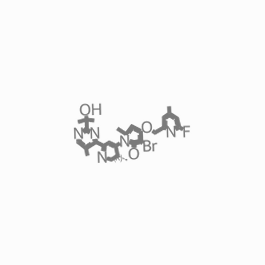 Cc1cc(F)nc(COc2cc(C)n(C3=CC(c4nc(C(C)(C)O)ncc4C)=NC[C@H]3C)c(=O)c2Br)c1